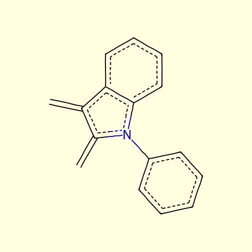 C=c1c(=C)n(-c2ccccc2)c2ccccc12